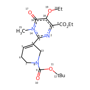 CCOC(=O)c1nc(C2=CCCN(C(=O)OC(C)(C)C)C2)n(C)c(=O)c1OCC